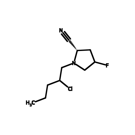 CCCC(Cl)CN1CC(F)C[C@H]1C#N